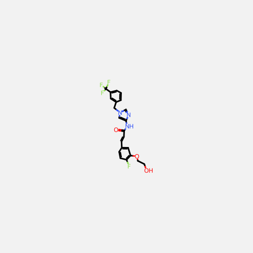 O=C(/C=C/c1ccc(F)c(OCCO)c1)Nc1cn(Cc2cccc(C(F)(F)F)c2)cn1